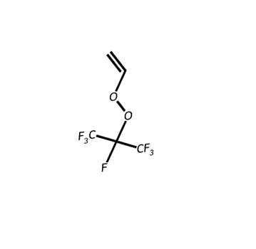 C=COOC(F)(C(F)(F)F)C(F)(F)F